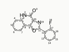 O=c1[nH]c2ccccc2c2oc(-c3ccccc3F)nc12